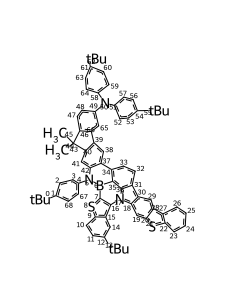 CC(C)(C)c1ccc(N2B3c4sc5ccc(C(C)(C)C)cc5c4-n4c5cc6sc7ccccc7c6cc5c5ccc(c3c54)-c3cc4c(cc32)C(C)(C)c2ccc(N(c3ccc(C(C)(C)C)cc3)c3ccc(C(C)(C)C)cc3)cc2-4)cc1